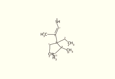 CCC(CC)(/C(C)=C/S)C(C)C